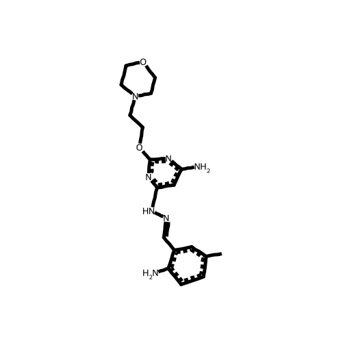 Cc1ccc(N)c(C=NNc2cc(N)nc(OCCN3CCOCC3)n2)c1